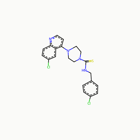 S=C(NCc1ccc(Cl)cc1)N1CCN(c2ccnc3ccc(Cl)cc23)CC1